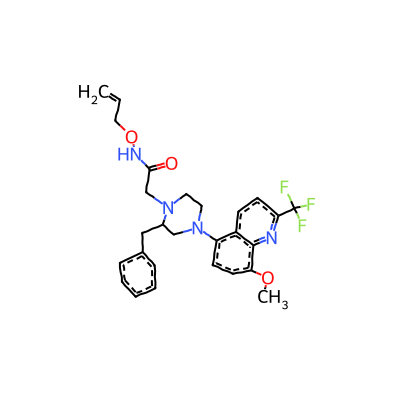 C=CCONC(=O)CN1CCN(c2ccc(OC)c3nc(C(F)(F)F)ccc23)CC1Cc1ccccc1